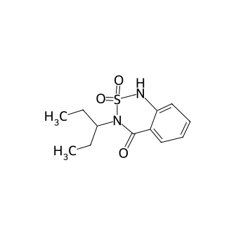 CCC(CC)N1C(=O)c2ccccc2NS1(=O)=O